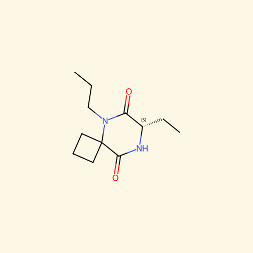 CCCN1C(=O)[C@H](CC)NC(=O)C12CCC2